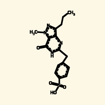 CCCc1nn(C)c2c(=O)[nH]c(Cc3ccc(S(=O)(=O)O)cc3)nc12